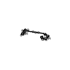 Cc1nc(Nc2ncc(C(=O)Nc3c(C)cccc3Cl)s2)cc(N2CCN(CCCCCCOCCOCCOCCCCCC(=O)Nc3cccc4c3C(=O)N(C3CCC(=O)N(C)C3=O)C4=O)CC2)n1